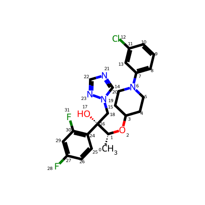 C[C@@H](OC1CCN(c2cccc(Cl)c2)CC1)[C@](O)(Cn1cncn1)c1ccc(F)cc1F